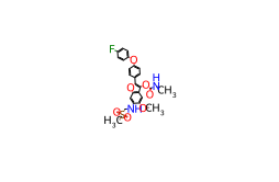 CNC(=O)Oc1c(-c2ccc(Oc3ccc(F)cc3)cc2)oc2cc(NCS(C)(=O)=O)c(OC)cc12